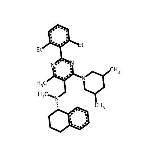 CCc1cccc(CC)c1-c1nc(C)c(CN(C)[C@H]2CCCc3ccccc32)c(N2CC(C)CC(C)C2)n1